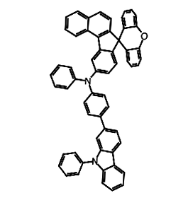 c1ccc(N(c2ccc(-c3ccc4c5ccccc5n(-c5ccccc5)c4c3)cc2)c2ccc3c(c2)-c2c(ccc4ccccc24)C32c3ccccc3Oc3ccccc32)cc1